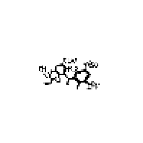 C=CC(=O)Oc1c(C(C)(C)C)cc(C(C)(C)C)c(C)c1C(C)c1c(C)c(C(C)(C)C)cc(C(C)(C)C)c1O